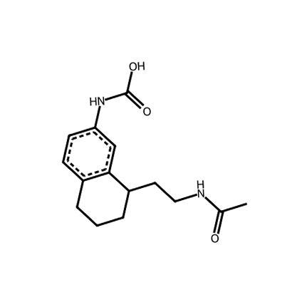 CC(=O)NCCC1CCCc2ccc(NC(=O)O)cc21